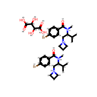 CC(C)C(CN1CCC1)N(C)C(=O)c1ccc(Br)cc1.CC(C)C(CN1CCC1)N(C)C(=O)c1ccc(Br)cc1.O=C(O)C(O)C(O)C(=O)O